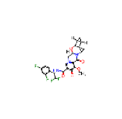 COc1c2n(cc(C(=O)N[C@@H](c3ccc(F)cc3F)C(F)F)c1=O)C[C@H]1OC3[C@@H]4C[C@@H]4[C@@]34CC4N1C2=O